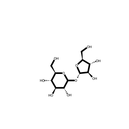 OC[C@@H]1O[C@@H](OC2O[C@H](CO)[C@@H](O)[C@H](O)[C@H]2O)[C@H](O)[C@H]1O